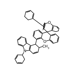 CC1C=Cc2c(c3ccccc3n2C2C=CC=CC2)C1c1cccc2c1Oc1ccccc1C21C2=C(C=CCC2)OC2=C1CCC(C1=CC=CCC1)=C2